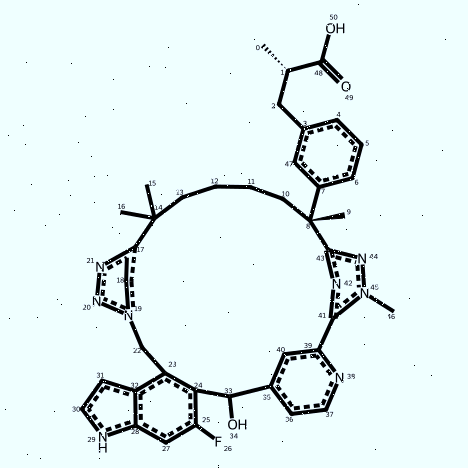 C[C@@H](Cc1cccc([C@@]2(C)CCCCC(C)(C)c3cn(nn3)Cc3c(c(F)cc4[nH]ccc34)C(O)c3ccnc(c3)-c3nc2nn3C)c1)C(=O)O